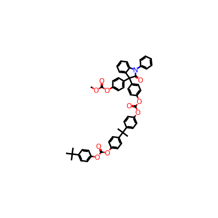 COC(=O)Oc1ccc(C2(c3ccc(OC(=O)Oc4ccc(C(C)(C)c5ccc(OC(=O)Oc6ccc(C(C)(C)C)cc6)cc5)cc4)cc3)C(=O)N(c3ccccc3)c3ccccc32)cc1